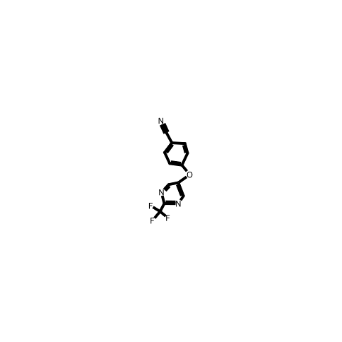 N#Cc1ccc(Oc2cnc(C(F)(F)F)nc2)cc1